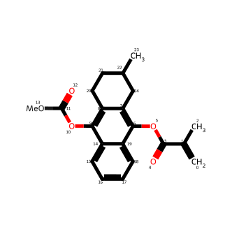 C=C(C)C(=O)Oc1c2c(c(OC(=O)OC)c3ccccc13)CCC(C)C2